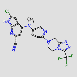 CN(c1ccc(N2CCn3c(nnc3C(F)(F)F)C2)nc1)c1cc(C#N)nc2[nH]c(Cl)cc12